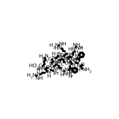 CC(C)[C@H](NC(=O)[C@H](CCCNC(=N)N)NC(=O)[C@H](C)NC(=O)[C@@H](NC(=O)[C@@H](NC(=O)[C@H](CCCNC(=N)N)NC(=O)[C@H](CCCNC(=N)N)NC(=O)[C@H](Cc1c[nH]c2ccccc12)NC(=O)[C@H](Cc1c[nH]c2ccccc12)NC(=O)CN)[C@@H](C)O)C(C)C)C(=O)N[C@@H](CCCNC(=N)N)C(=O)N[C@@H](CCCCN)C(=O)O